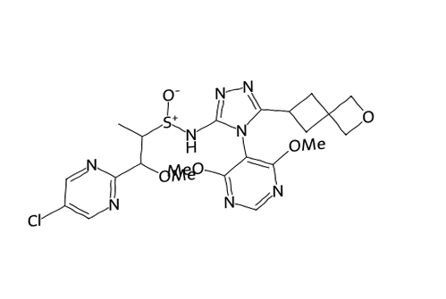 COc1ncnc(OC)c1-n1c(N[S+]([O-])C(C)C(OC)c2ncc(Cl)cn2)nnc1C1CC2(COC2)C1